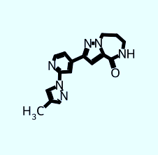 Cc1cnn(-c2cc(-c3cc4n(n3)CCCNC4=O)ccn2)c1